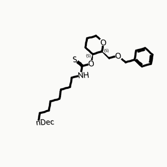 CCCCCCCCCCCCCCCCCNC(=S)O[C@H]1CCCO[C@H]1COCc1ccccc1